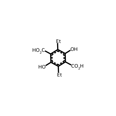 CCc1c(O)c(C(=O)O)c(CC)c(O)c1C(=O)O